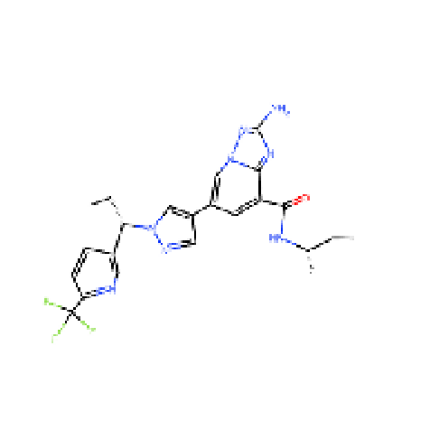 CC[C@H](C)NC(=O)c1cc(-c2cnn([C@@H](CC)c3ccc(C(F)(F)F)nc3)c2)cn2nc(N)nc12